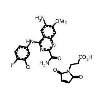 COc1cc2nc(C(N)=O)nc(Nc3ccc(F)c(Cl)c3)c2cc1N.O=C(O)CCN1C(=O)C=CC1=O